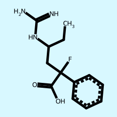 CCC(CC(F)(C(=O)O)c1ccccc1)NC(=N)N